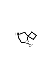 [O-][S+]1CCNCC12CCC2